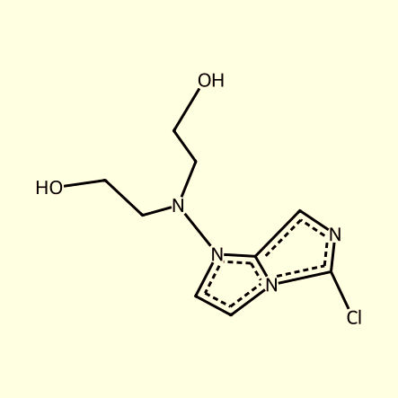 OCCN(CCO)n1ccn2c(Cl)ncc12